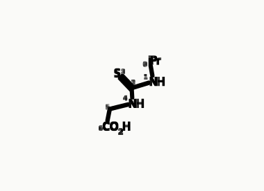 CC(C)NC(=S)NCC(=O)O